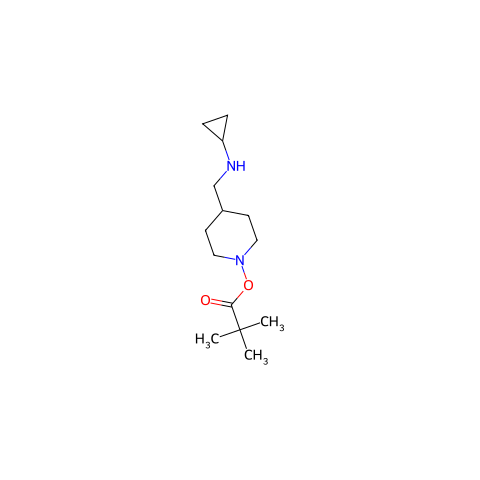 CC(C)(C)C(=O)ON1CCC(CNC2CC2)CC1